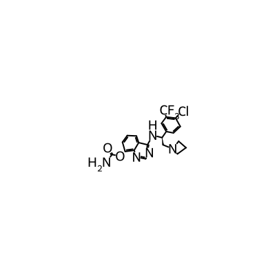 NC(=O)Oc1cccc2c(N[C@H](CN3CCC3)c3ccc(Cl)c(C(F)(F)F)c3)ncnc12